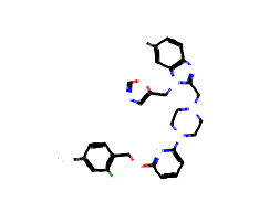 N#Cc1ccc(COc2cccc(N3CCN(Cc4nc5ccc(C(=O)O)cc5n4Cc4cnco4)CC3)n2)c(F)c1